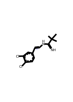 CC(C)(C)C(=N)N/C=C/c1ccc(Cl)c(Cl)c1